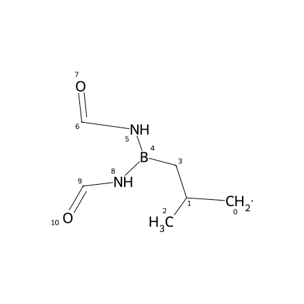 [CH2]C(C)CB(NC=O)NC=O